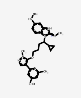 C/N=c1\[nH]c2cc(NC(C)(C)C)ccc2n1C(CCCOc1c(-c2cc(C=O)cc(C)n2)cnn1C)C1CC1